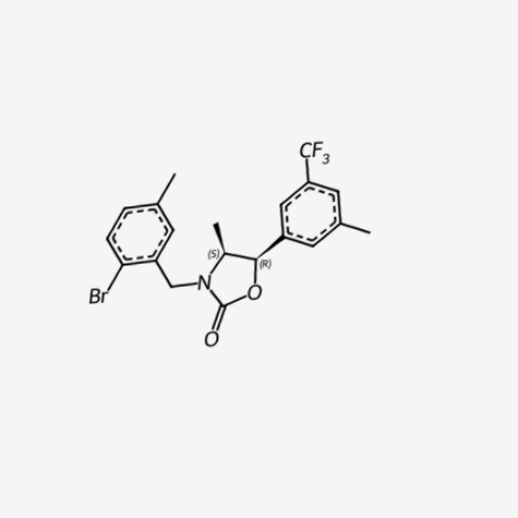 Cc1cc([C@H]2OC(=O)N(Cc3cc(C)ccc3Br)[C@H]2C)cc(C(F)(F)F)c1